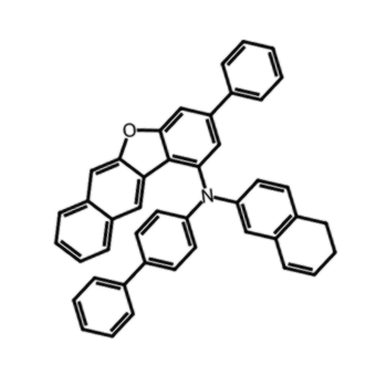 C1=Cc2cc(N(c3ccc(-c4ccccc4)cc3)c3cc(-c4ccccc4)cc4oc5cc6ccccc6cc5c34)ccc2CC1